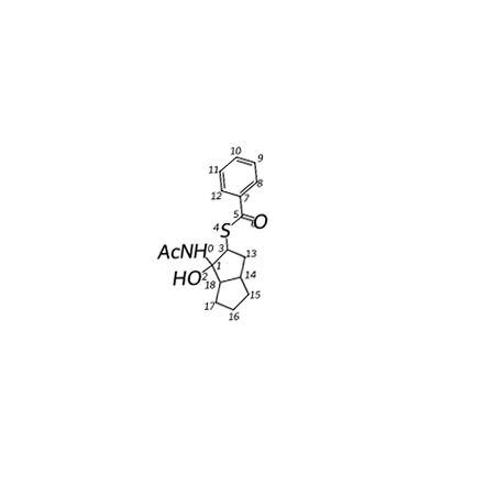 CC(=O)NC1(O)C(SC(=O)c2ccccc2)CC2CCCC21